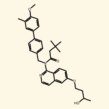 COc1ccc(-c2ccc(CN(C(=O)CC(C)(C)C)c3nccc4cc(OCCC(C)O)ccc34)cc2)cc1C